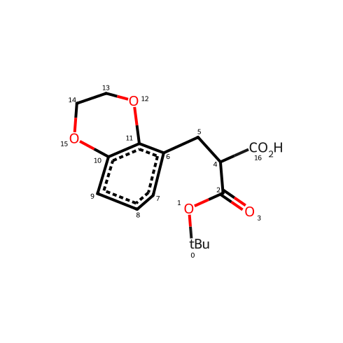 CC(C)(C)OC(=O)C(Cc1cccc2c1OCCO2)C(=O)O